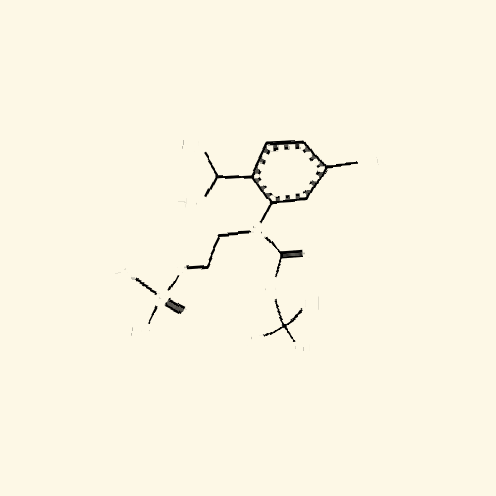 Cc1ccc(C(C)C)c(N(CCOP(O)(=S)S)C(=O)OC(C)(C)C)c1